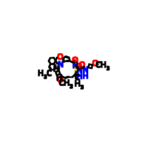 CO[C@H]1/C=C/C[C@H](C)C[S@@](=O)(NC(=O)N[C@H]2C[C@H](OC)C2)=NC(=O)c2ccc3c(c2)N(C[C@@H]2CC[C@H]21)C[C@@]1(CCCc2cc(C)ccc21)CO3